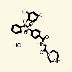 Cl.O=C(NCC(=O)N1CCCNCC1)c1ccc(S(=O)(=O)N(Oc2ccc(Cl)cc2Cl)c2ccccc2)cc1